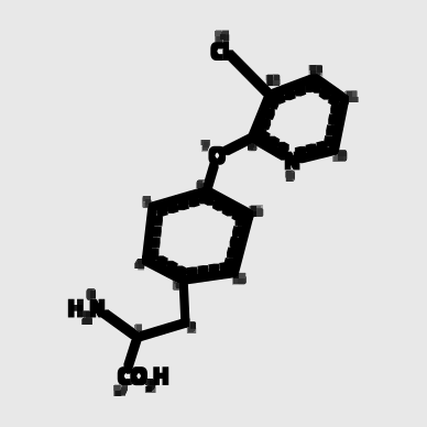 NC(Cc1ccc(Oc2ncccc2Cl)cc1)C(=O)O